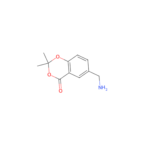 CC1(C)OC(=O)c2cc(CN)ccc2O1